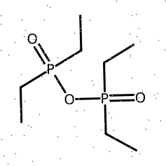 CCP(=O)(CC)OP(=O)(CC)CC